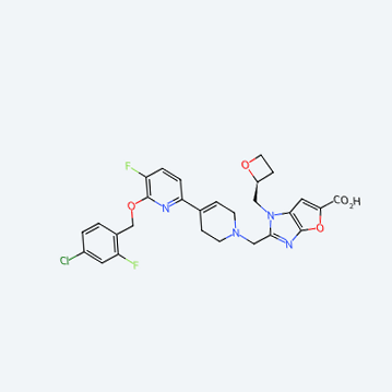 O=C(O)c1cc2c(nc(CN3CC=C(c4ccc(F)c(OCc5ccc(Cl)cc5F)n4)CC3)n2C[C@@H]2CCO2)o1